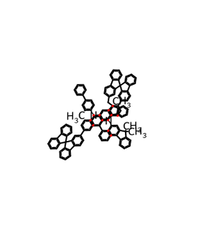 Cc1cc(-c2ccccc2)ccc1N(c1ccc(-c2ccc3c(c2)C2(c4ccccc4-c4ccccc42)c2ccccc2-3)cc1)c1ccc2c(c1)C(C)(Cc1ccc3c(c1)C1(c4ccccc4-3)c3ccccc3-c3ccc(-c4ccc(N(c5ccc6c(c5)C(C)(C)c5ccccc5-6)c5ccccc5-c5ccccc5)cc4)cc31)c1ccccc1-2